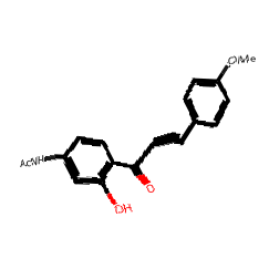 COc1ccc(/C=C/C(=O)c2ccc(NC(C)=O)cc2O)cc1